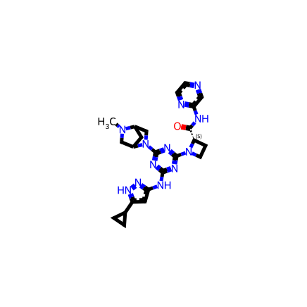 CN1CC2CC1CN2c1nc(Nc2cc(C3CC3)[nH]n2)nc(N2CC[C@H]2C(=O)Nc2cnccn2)n1